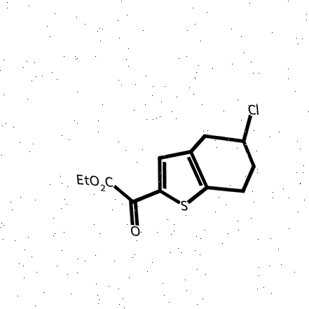 CCOC(=O)C(=O)c1cc2c(s1)CCC(Cl)C2